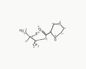 O=C(OC(C(F)(F)F)C(F)(F)S(=O)(=O)O)C1COCCN1